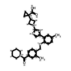 Cc1ccc(OCc2ccc(C(=O)N3CCCCC3)cc2C)c(-c2csc(N3CC(C4(C(=O)O)CC4)C3)n2)c1